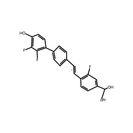 CCCC(O)c1ccc(/C=C/c2ccc(-c3ccc(O)c(F)c3F)cc2)c(F)c1